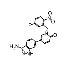 Nc1n[nH]c2cc(-c3ccc(=O)n(Cc4cc(F)ccc4[N+](=O)[O-])c3)ccc12